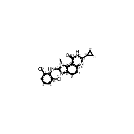 Cn1c(Nc2c(Cl)cccc2Cl)nc2ccc3nc(C4CC4)[nH]c(=O)c3c21